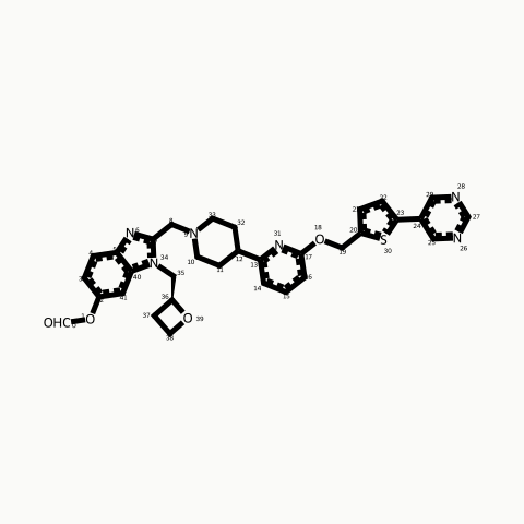 O=COc1ccc2nc(CN3CCC(c4cccc(OCc5ccc(-c6cncnc6)s5)n4)CC3)n(C[C@@H]3CCO3)c2c1